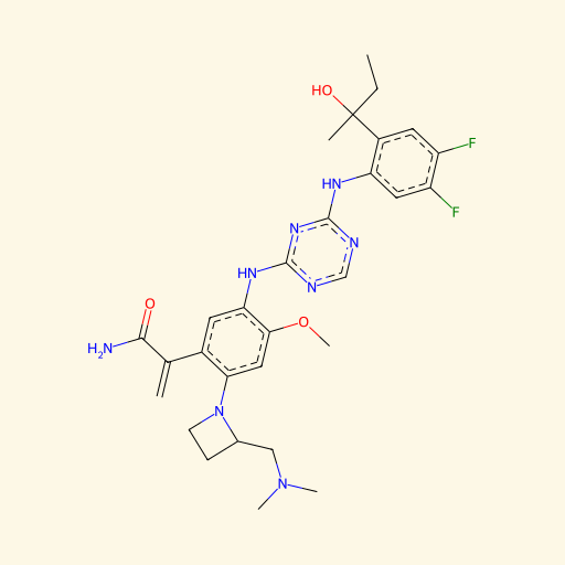 C=C(C(N)=O)c1cc(Nc2ncnc(Nc3cc(F)c(F)cc3C(C)(O)CC)n2)c(OC)cc1N1CCC1CN(C)C